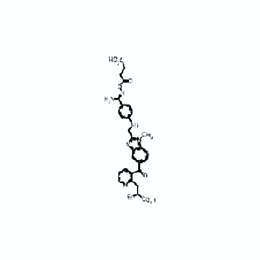 CCC(Cc1ncccc1C(=O)c1ccc2c(c1)nc(CNc1ccc(/C(N)=N/OC(=O)CCC(=O)O)cc1)n2C)C(=O)O